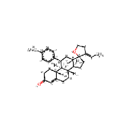 C/C=C1\CCO[C@]12CC[C@H]1[C@@H]3CCC4=CC(=O)CC[C@@H]4[C@H]3[C@@H](c3ccc(OC)cc3)C[C@@]12C